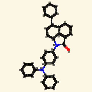 O=C1c2cccc3c(-c4ccccc4)ccc(c23)N1c1ccc(N(c2ccccc2)c2ccccc2)cc1